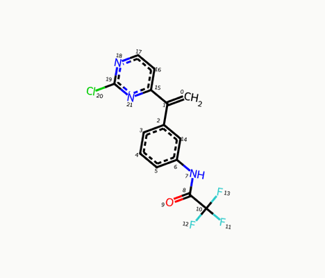 C=C(c1cccc(NC(=O)C(F)(F)F)c1)c1ccnc(Cl)n1